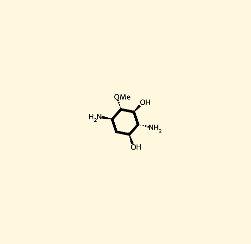 CO[C@@H]1[C@@H](O)[C@H](N)[C@@H](O)C[C@H]1N